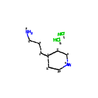 Cl.Cl.NCCCC1CCNCC1